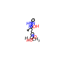 CC(C)(O)C(=O)N1CCC(CCc2c(C3CC3)nn(-c3nc4ccccc4[nH]3)c2O)CC1